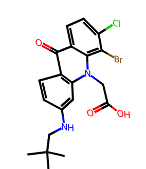 CC(C)(C)CNc1ccc2c(=O)c3ccc(Cl)c(Br)c3n(CC(=O)O)c2c1